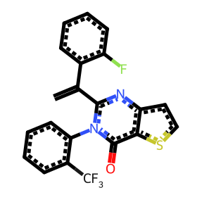 C=C(c1ccccc1F)c1nc2ccsc2c(=O)n1-c1ccccc1C(F)(F)F